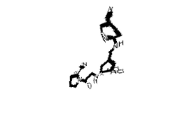 Cl.Cl.N#Cc1ccc(NCC2CC[C@H](NCC(=O)N3CCC[C@H]3C#N)C2)nc1